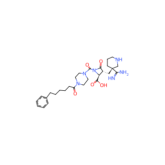 N=C(N)[C@]1(C[C@H]2C(=O)N(C(=O)N3CCN(C(=O)CCCCCc4ccccc4)CC3)[C@@H]2C(=O)O)CCCNC1